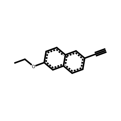 C#Cc1ccc2cc(OCC)ccc2c1